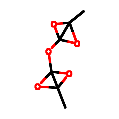 CC12OC1(OC13OC1(C)O3)O2